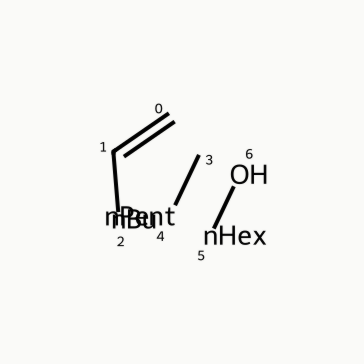 C=CCCCC.CCCCCC.CCCCCCO